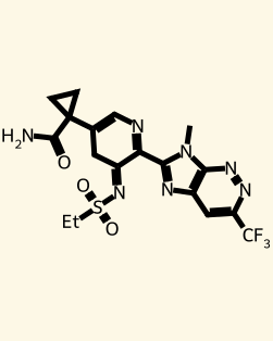 CCS(=O)(=O)N=C1CC(C2(C(N)=O)CC2)=CN=C1c1nc2cc(C(F)(F)F)nnc2n1C